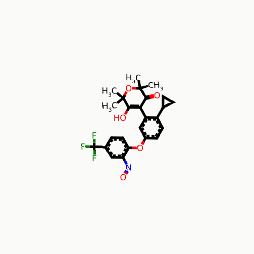 CC1(C)OC(C)(C)C(O)=C(c2cc(Oc3ccc(C(F)(F)F)cc3N=O)ccc2C2CC2)C1=O